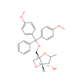 COc1ccc(C(OC[C@]23CO[C@H]2[C@@H](O)C(C)O3)(c2ccccc2)c2ccc(OC)cc2)cc1